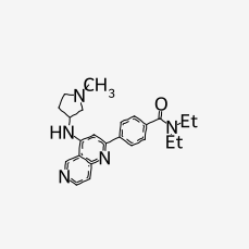 CCN(CC)C(=O)c1ccc(-c2cc(NC3CCN(C)C3)c3cnccc3n2)cc1